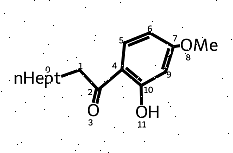 CCCCCCCCC(=O)c1ccc(OC)cc1O